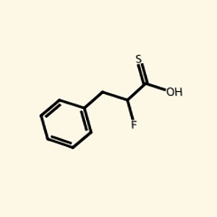 OC(=S)C(F)Cc1ccccc1